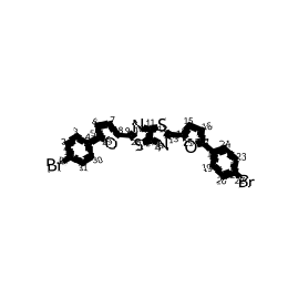 Brc1ccc(-c2ccc(-c3nc4sc(-c5ccc(-c6ccc(Br)cc6)o5)nc4s3)o2)cc1